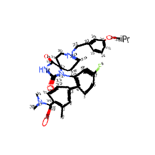 Cc1cc(-c2ccc(F)cc2N2C(=O)NC(=O)C23CCN(Cc2cccc(OC(C)C)c2)CC3)ccc1C(=O)N(C)C